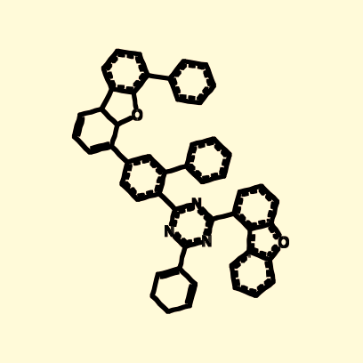 C1=CC2c3cccc(-c4ccccc4)c3OC2C(c2ccc(-c3nc(C4=CCCC=C4)nc(-c4cccc5oc6ccccc6c45)n3)c(-c3ccccc3)c2)=C1